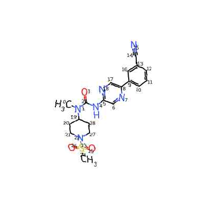 CN(C(=O)Nc1cnc(-c2cccc(C#N)c2)cn1)C1CCN(S(C)(=O)=O)CC1